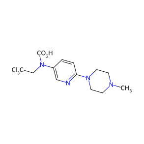 CN1CCN(c2ccc(N(CC(Cl)(Cl)Cl)C(=O)O)cn2)CC1